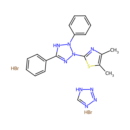 Br.Br.Cc1nc(N2N=C(c3ccccc3)NN2c2ccccc2)sc1C.c1nnn[nH]1